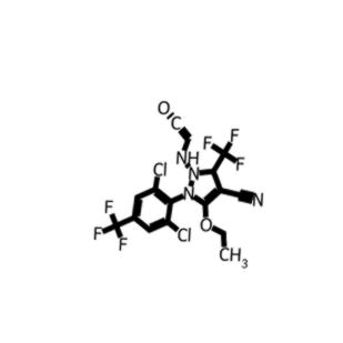 CCOC1=C(C#N)C(C(F)(F)F)N(NC=C=O)N1c1c(Cl)cc(C(F)(F)F)cc1Cl